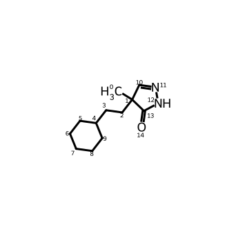 CC1(CCC2CCCCC2)C=NNC1=O